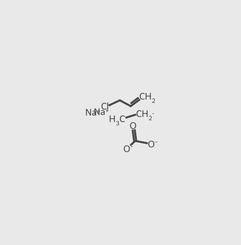 C=CCCl.O=C([O-])[O-].[CH2]C.[Na+].[Na+]